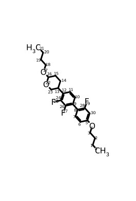 CCCCOc1ccc(-c2ccc(C3CCC(OCCCC)OC3)c(F)c2F)c(F)c1